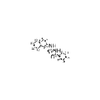 O=C(NC(=S)Nc1ccc2ccccc2c1)c1ccccc1